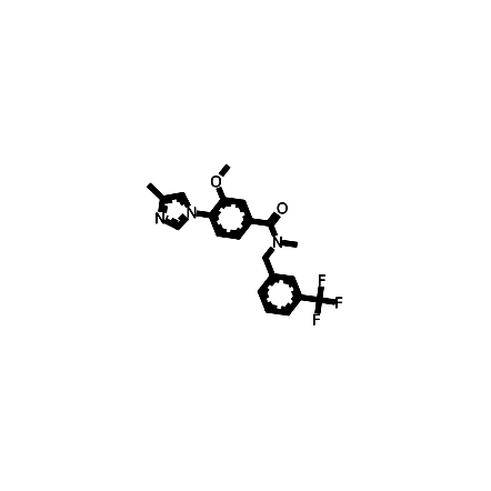 COc1cc(C(=O)N(C)Cc2cccc(C(F)(F)F)c2)ccc1-n1cnc(C)c1